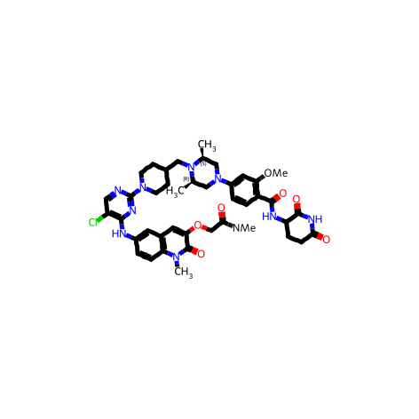 CNC(=O)COc1cc2cc(Nc3nc(N4CCC(CN5[C@H](C)CN(c6ccc(C(=O)NC7CCC(=O)NC7=O)c(OC)c6)C[C@@H]5C)CC4)ncc3Cl)ccc2n(C)c1=O